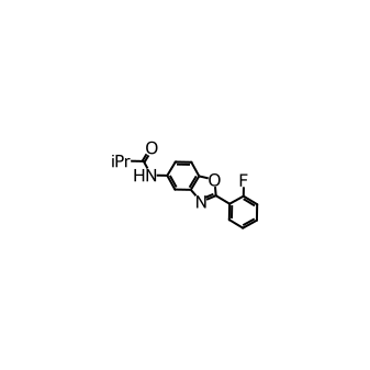 CC(C)C(=O)Nc1ccc2oc(-c3ccccc3F)nc2c1